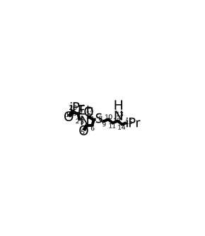 CCC(CN1C(=O)CC(SCCCC(=N)CC(C)C)C1=O)C(=O)C(C)C